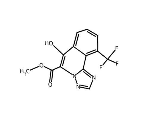 COC(=O)c1c(O)c2cccc(C(F)(F)F)c2c2ncnn12